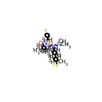 [2H]c1c([2H])c(C([2H])([2H])N(CCN(CC)CC)C(=O)Cn2c(SC([2H])([2H])c3ccc(F)cc3)nc(=O)c3c2C([2H])([2H])C([2H])(C)C3([2H])[2H])c([2H])c([2H])c1-c1c([2H])c([2H])c(C(F)(F)F)c(C)c1[2H]